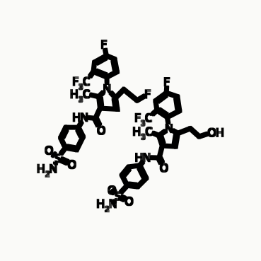 Cc1c(C(=O)Nc2ccc(S(N)(=O)=O)cc2)cc(CCF)n1-c1ccc(F)cc1C(F)(F)F.Cc1c(C(=O)Nc2ccc(S(N)(=O)=O)cc2)cc(CCO)n1-c1ccc(F)cc1C(F)(F)F